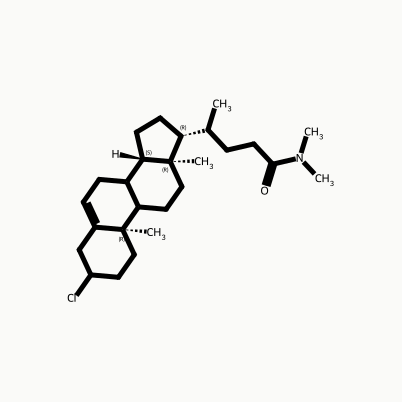 CC(CCC(=O)N(C)C)[C@H]1CC[C@H]2C3CC=C4CC(Cl)CC[C@]4(C)C3CC[C@]12C